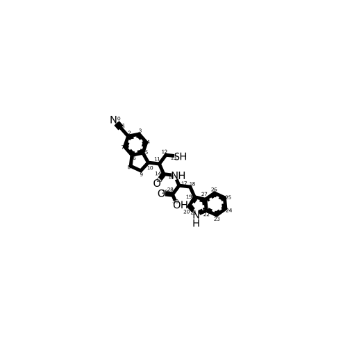 N#Cc1ccc2c(c1)CCC2C(CS)C(=O)NC(Cc1c[nH]c2ccccc12)C(=O)O